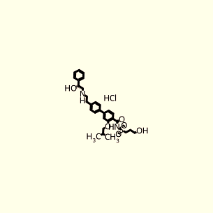 CC(C)COc1cc(-c2ccc(CCNC[C@H](O)c3ccccc3)cc2)ccc1C(=O)NS(=O)(=O)CCCO.Cl